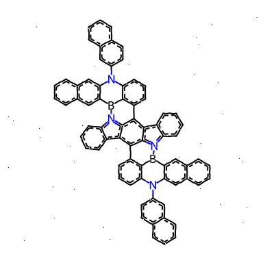 c1cc2c3c(c1)N(c1ccc4ccccc4c1)c1cc4ccccc4cc1B3n1c3ccccc3c3c4c5c(c-2c31)c1ccccc1n5B1c2cc3ccccc3cc2N(c2ccc3ccccc3c2)c2cccc-4c21